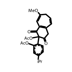 COC1=CC2=C(C=CC1)CC(=O)C(OC(C)=O)(c1ccc(C(C)C)cc1OC(C)=O)C2=O